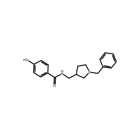 O=C(NCC1CCN(Cc2ccccc2)C1)c1ccc(O)cc1